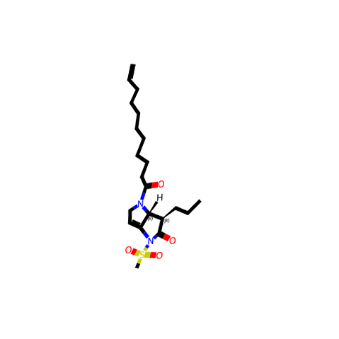 C=CCCCCCCCCC(=O)N1CC=C2[C@H]1[C@@H](CCC)C(=O)N2S(C)(=O)=O